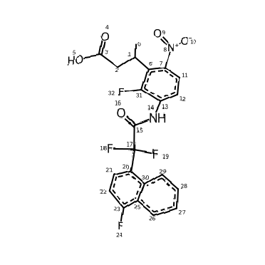 CC(CC(=O)O)c1c([N+](=O)[O-])ccc(NC(=O)C(F)(F)c2ccc(F)c3ccccc23)c1F